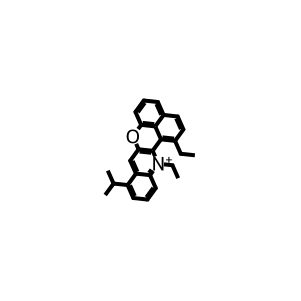 CCc1ccc2cccc3c2c1-c1c(cc2c(C(C)C)cccc2[n+]1CC)O3